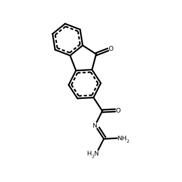 NC(N)=NC(=O)c1ccc2c(c1)C(=O)c1ccccc1-2